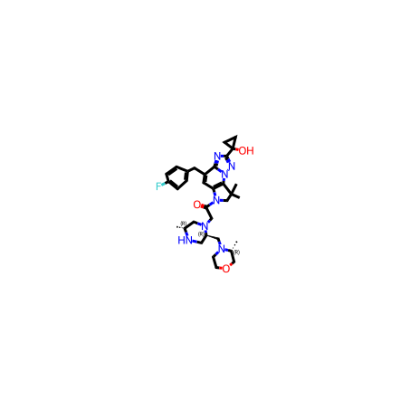 C[C@@H]1CN(CC(=O)N2CC(C)(C)c3c2cc(Cc2ccc(F)cc2)c2nc(C4(O)CC4)nn32)[C@@H](CN2CCOC[C@H]2C)CN1